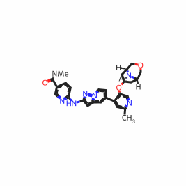 CNC(=O)c1ccc(Nc2cc3cc(-c4cc(C)ncc4OC4C[C@H]5COC[C@@H](C4)N5C(C)=O)ccn3n2)nc1